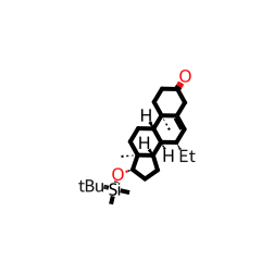 CC[C@H]1C=C2CC(=O)CC[C@]2(C)[C@H]2CC[C@]3(C)[C@@H](O[Si](C)(C)C(C)(C)C)CC[C@H]3[C@H]12